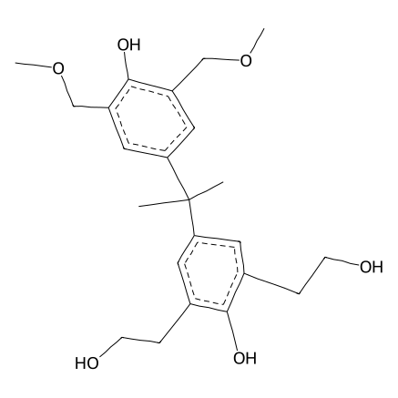 COCc1cc(C(C)(C)c2cc(CCO)c(O)c(CCO)c2)cc(COC)c1O